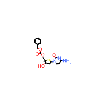 Nc1ccn([C@H]2CC(O)[C@@H](COC(=O)OCc3ccccc3)S2)c(=O)n1